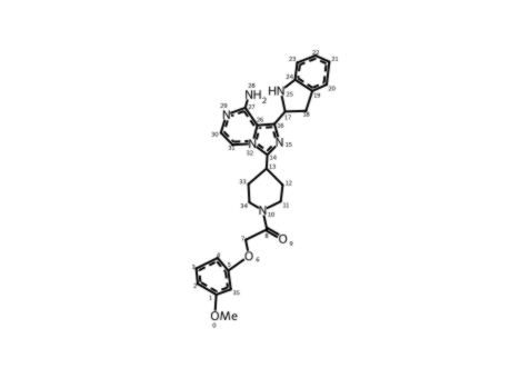 COc1cccc(OCC(=O)N2CCC(c3nc(C4Cc5ccccc5N4)c4c(N)nccn34)CC2)c1